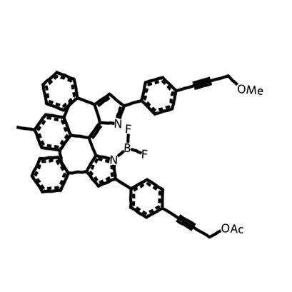 COCC#Cc1ccc(C2=N/C(=C(/c3c(C)cc(C)cc3C)c3c(-c4ccccc4)cc(-c4ccc(C#CCOC(C)=O)cc4)n3B(F)F)C(c3ccccc3)=C2)cc1